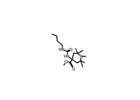 CCCCNC(=O)NC1(C(=O)OC)CC(C)(C)N(C)C(C)(C)C1